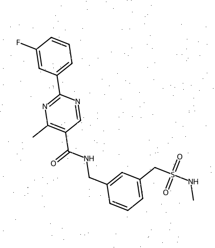 CNS(=O)(=O)Cc1cccc(CNC(=O)c2cnc(-c3cccc(F)c3)nc2C)c1